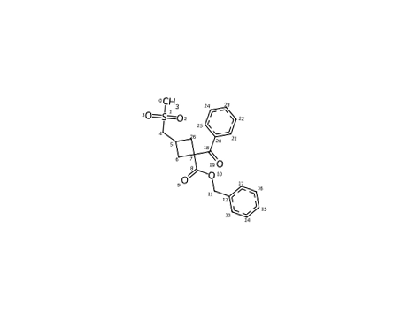 CS(=O)(=O)CC1CC(C(=O)OCc2ccccc2)(C(=O)c2ccccc2)C1